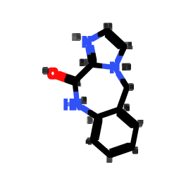 O=C1Nc2ccccc2Cn2ccnc21